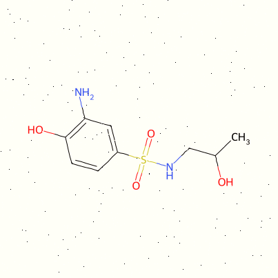 CC(O)CNS(=O)(=O)c1ccc(O)c(N)c1